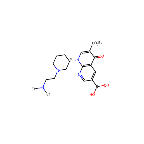 CCOC(=O)c1cn([C@H]2CCCN(CCN(CC)CC)C2)c2ncc(B(O)O)cc2c1=O